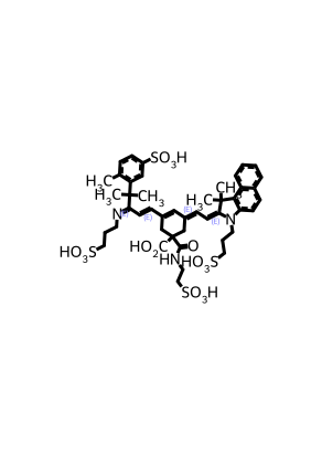 Cc1ccc(S(=O)(=O)O)cc1C(C)(C)C(/C=C/C1=CC(=C/C=C2/N(CCCS(=O)(=O)O)c3ccc4ccccc4c3C2(C)C)/CC(C(=O)O)(C(=O)NCCS(=O)(=O)O)C1)=N/CCCS(=O)(=O)O